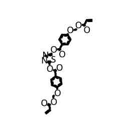 C=CC(=O)OCOc1ccc(C(=O)Oc2nnc(OC(=O)c3ccc(OCOC(=O)C=C)cc3)s2)cc1